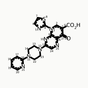 O=C(O)c1cn(-c2nccs2)c2nc(N3CCN(c4ccccn4)CC3)cnc2c1=O